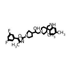 Cc1ccc2c(c1)NCC21CCN(CC(O)C2CCN(c3nc(C)c(-c4cc(F)cc(F)c4)o3)CC2)C[C@H]1C